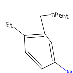 CCCCCCc1cc(N)ccc1CC